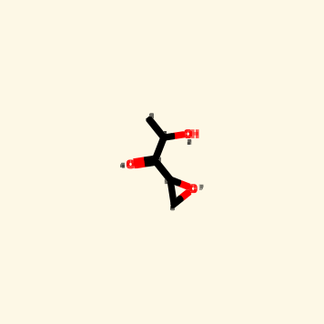 CC(O)C(=O)C1CO1